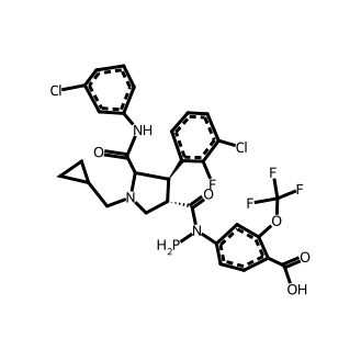 O=C(O)c1ccc(N(P)C(=O)[C@@H]2CN(CC3CC3)C(C(=O)Nc3cccc(Cl)c3)[C@H]2c2cccc(Cl)c2F)cc1OC(F)(F)F